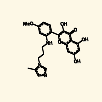 COc1ccc(-c2oc3cc(O)cc(O)c3c(=O)c2O)c(NCCCn2cncc2C)c1